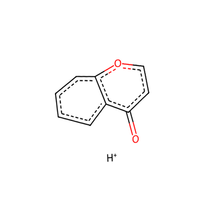 O=c1ccoc2ccccc12.[H+]